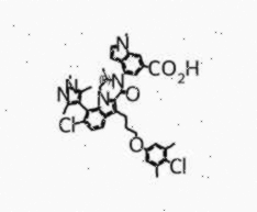 Cc1cc(OCCCc2c3n(c4c(-c5c(C)nn(C)c5C)c(Cl)ccc24)C[C@@H](C)N(c2cc(C(=O)O)cc4c2ccn4C)C3=O)cc(C)c1Cl